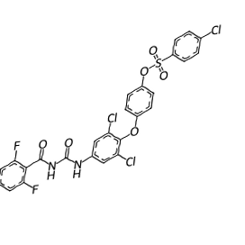 O=C(NC(=O)c1c(F)cccc1F)Nc1cc(Cl)c(Oc2ccc(OS(=O)(=O)c3ccc(Cl)cc3)cc2)c(Cl)c1